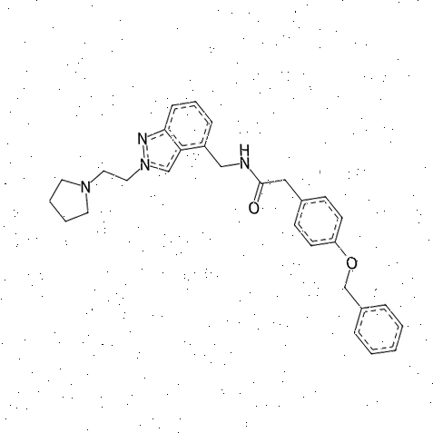 O=C(Cc1ccc(OCc2ccccc2)cc1)NCc1cccc2nn(CCN3CCCC3)cc12